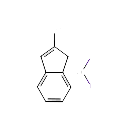 CC(C)C1=Cc2ccccc2[CH]1.[I][Zr][I]